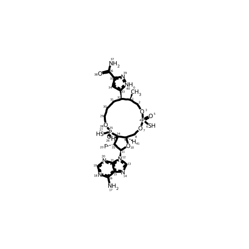 C[C@H]1COP(=O)(S)OC[C@H]2O[C@@H](n3cnc4c(N)ncnc43)[C@H](F)[C@@H]2P(=O)(S)OCCC[C@H]1c1cc(C(N)=O)n[nH]1